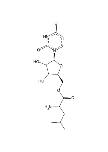 CC(C)C[C@H](N)C(=O)OC[C@@H]1O[C@H](n2ccc(=O)[nH]c2=O)C(O)C1O